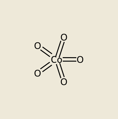 [O]=[Co](=[O])(=[O])(=[O])=[O]